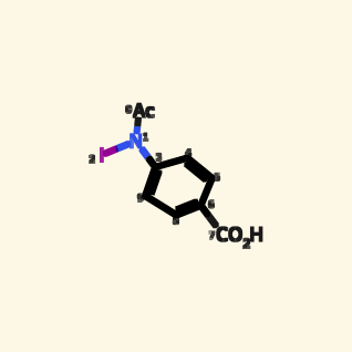 CC(=O)N(I)c1ccc(C(=O)O)cc1